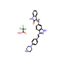 CN1C(=O)[C@@]2(C[C@H]2c2ccc3c(/C=C/c4ccc(N5CCNCC5)cc4)n[nH]c3c2)c2ccccc21.O=C(O)C(F)(F)F